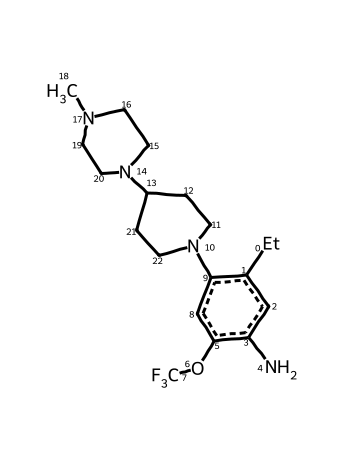 CCc1cc(N)c(OC(F)(F)F)cc1N1CCC(N2CCN(C)CC2)CC1